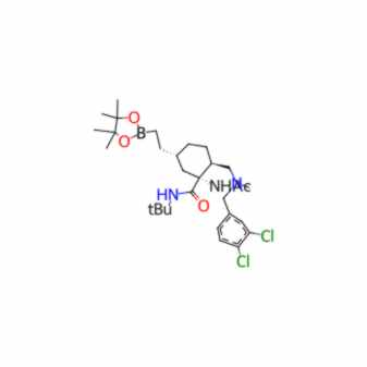 CC(=O)N[C@]1(C(=O)NC(C)(C)C)C[C@H](CCB2OC(C)(C)C(C)(C)O2)CC[C@H]1CN(C)Cc1ccc(Cl)c(Cl)c1